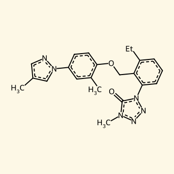 CCc1cccc(-n2nnn(C)c2=O)c1COc1ccc(-n2cc(C)cn2)cc1C